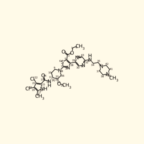 CCOC(=O)c1sc(N2CC[C@@H](NC(=O)c3[nH]c(C)c(Cl)c3Cl)[C@@H](OC)C2)nc1-c1cnc(NCCN2CCN(C)CC2)cn1